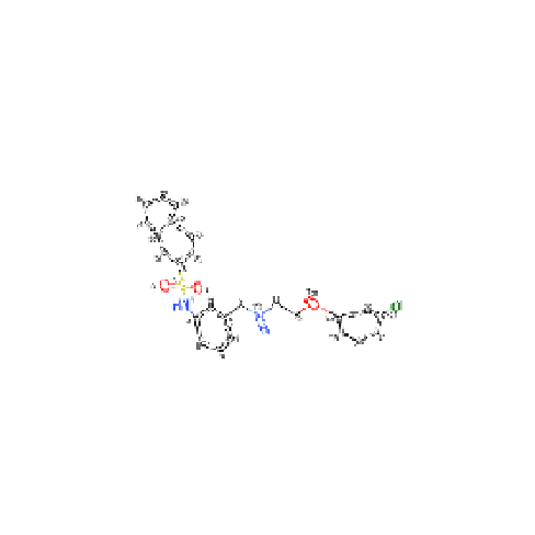 O=S(=O)(Nc1cccc(CNCCOc2cccc(Cl)c2)c1)c1ccc2ccccc2c1